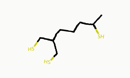 CC(S)CCCC(CS)CS